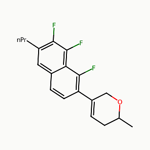 CCCc1cc2ccc(C3=CCC(C)OC3)c(F)c2c(F)c1F